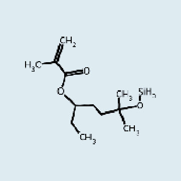 C=C(C)C(=O)OC(CC)CCC(C)(C)O[SiH3]